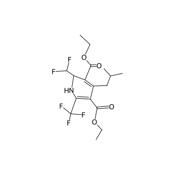 CCOC(=O)C1=C(C(F)(F)F)NC(C(F)F)C(C(=O)OCC)=C1CC(C)C